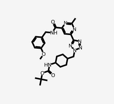 COc1cccc(CNC(=O)c2cc(-c3nnn(CC4CCC(NC(=O)OC(C)(C)C)CC4)n3)nc(C)n2)c1